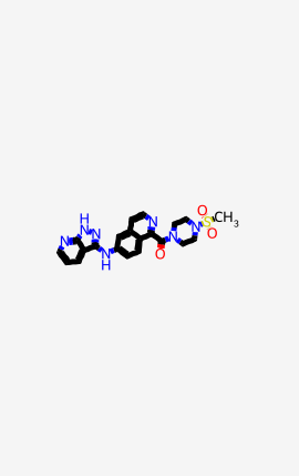 CS(=O)(=O)N1CCN(C(=O)c2nccc3cc(Nc4n[nH]c5ncccc45)ccc23)CC1